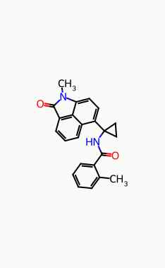 Cc1ccccc1C(=O)NC1(c2ccc3c4c(cccc24)C(=O)N3C)CC1